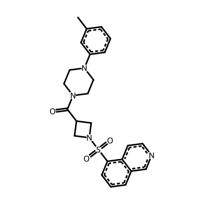 Cc1cccc(N2CCN(C(=O)C3CN(S(=O)(=O)c4cccc5cnccc45)C3)CC2)c1